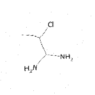 CC(Cl)C(N)N